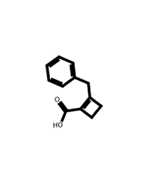 O=C(O)C1=C(Cc2ccccc2)CC1